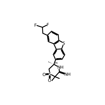 CC1(C)C(=N)N[C@](C)(c2ccc3sc4ccc(CC(F)F)cc4c3c2)CS1(=O)=O